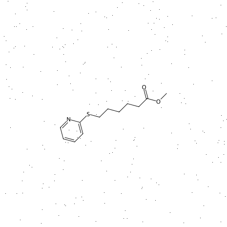 COC(=O)CCCCCSc1ccccn1